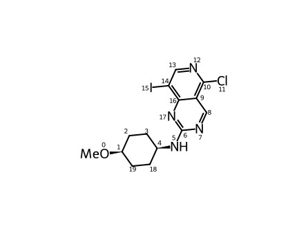 CO[C@H]1CC[C@@H](Nc2ncc3c(Cl)ncc(I)c3n2)CC1